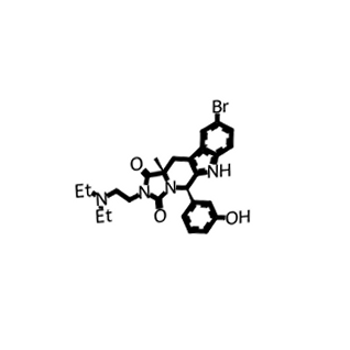 CCN(CC)CCN1C(=O)N2[C@H](c3cccc(O)c3)c3[nH]c4ccc(Br)cc4c3C[C@@]2(C)C1=O